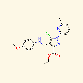 CCOC(=O)c1nn(-c2cccc(C)n2)c(Cl)c1CNc1ccc(OC)cc1